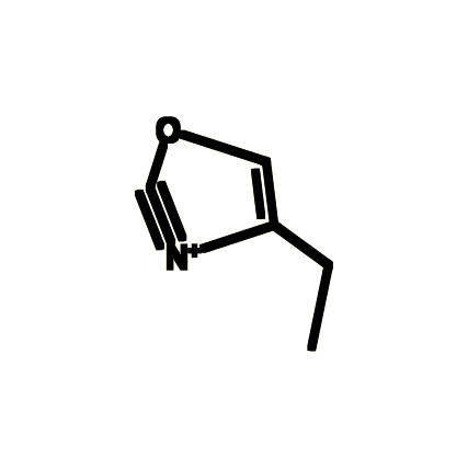 CCc1coc#[n+]1